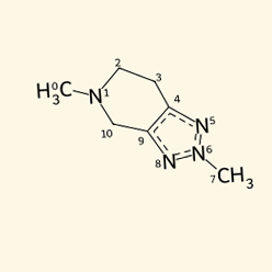 CN1CCc2nn(C)nc2C1